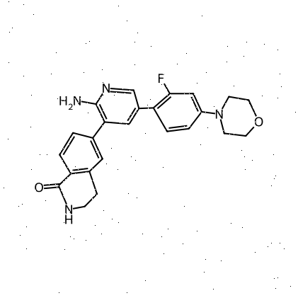 Nc1ncc(-c2ccc(N3CCOCC3)cc2F)cc1-c1ccc2c(c1)CCNC2=O